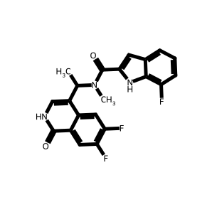 CC(c1c[nH]c(=O)c2cc(F)c(F)cc12)N(C)C(=O)c1cc2cccc(F)c2[nH]1